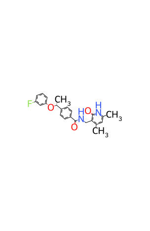 Cc1cc(C)c(CNC(=O)c2ccc([C@@H](C)Oc3cccc(F)c3)cc2)c(=O)[nH]1